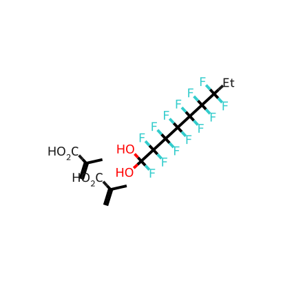 C=C(C)C(=O)O.C=C(C)C(=O)O.CCC(F)(F)C(F)(F)C(F)(F)C(F)(F)C(F)(F)C(F)(F)C(O)(O)F